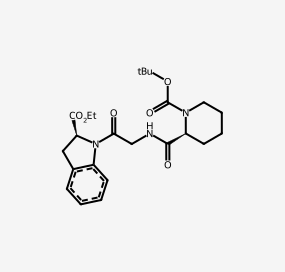 CCOC(=O)[C@@H]1Cc2ccccc2N1C(=O)CNC(=O)[C@@H]1CCCCN1C(=O)OC(C)(C)C